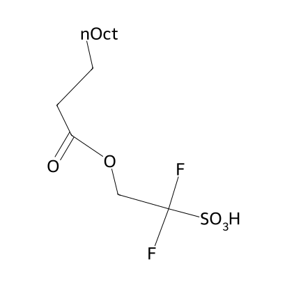 CCCCCCCCCCC(=O)OCC(F)(F)S(=O)(=O)O